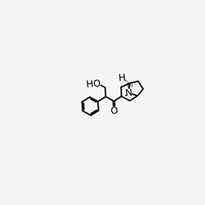 CN1C2CC[C@@H]1CC(C(=O)C(CO)c1ccccc1)C2